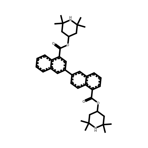 CC1(C)CC(OC(=O)c2cccc3cc(-c4cc(C(=O)OC5CC(C)(C)NC(C)(C)C5)c5ccccc5c4)ccc23)CC(C)(C)N1